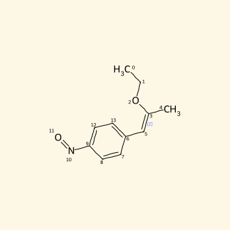 CCO/C(C)=C\c1ccc(N=O)cc1